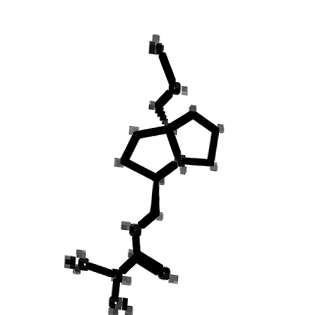 CCOC[C@]12CCCN1[C@@H](COC(=O)N(C)C)CC2